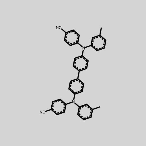 Cc1cccc(N(c2ccc(C#N)cc2)c2ccc(-c3ccc(N(c4ccc(C#N)cc4)c4cccc(C)c4)cc3)cc2)c1